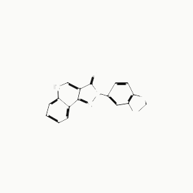 O=c1c2c[nH]c3ccccc3c-2nn1-c1ccc2c(c1)OCO2